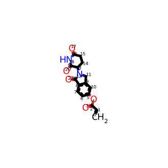 C=CC(=O)Oc1ccc2c(c1)CN(C1CCC(=O)NC1=O)C2=O